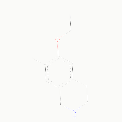 CCOc1cc2c(cc1C)CNCC2